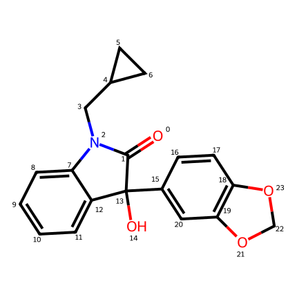 O=C1N(CC2CC2)c2ccccc2C1(O)c1ccc2c(c1)OCO2